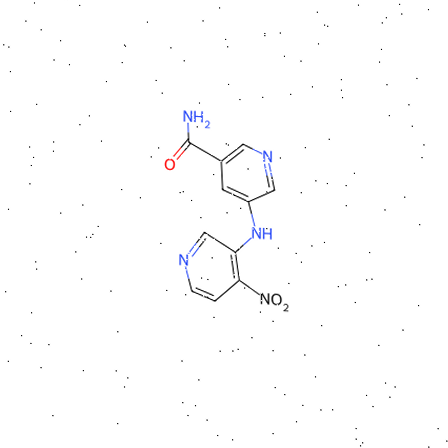 NC(=O)c1cncc(Nc2cnccc2[N+](=O)[O-])c1